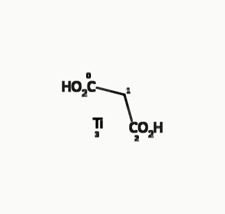 O=C(O)CC(=O)O.[Ti]